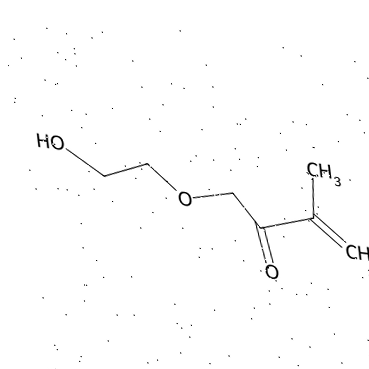 C=C(C)C(=O)COCCO